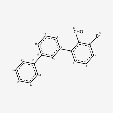 O=Cc1c(Br)cccc1-c1cccc(-c2ccccc2)c1